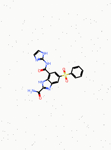 NC(=O)c1nc2cc(S(=O)(=O)c3ccccc3)cc(C(=O)Nc3ncc[nH]3)c2[nH]1